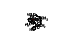 CC(C)(CCCC(=O)O)CCCC(C)(C)C(=O)OC1CCNCC1.CO[N+]1([O])C(C)(C)CCCC1(C)C